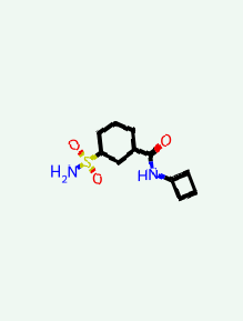 NS(=O)(=O)C1CCCC(C(=O)NC2CCC2)C1